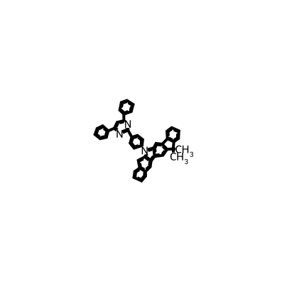 CC1(C)c2ccccc2-c2cc3c(cc21)c1cc2ccccc2cc1n3-c1ccc(-c2nc(-c3ccccc3)cc(-c3ccccc3)n2)cc1